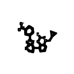 O=[N+]([O-])c1cccc(-c2nc3nccc(-c4cccc(OCC5CC5)c4OC(F)F)n3n2)c1